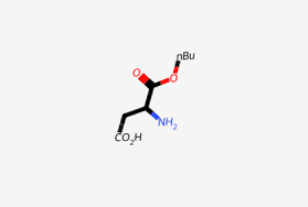 CCCCOC(=O)C(N)CC(=O)O